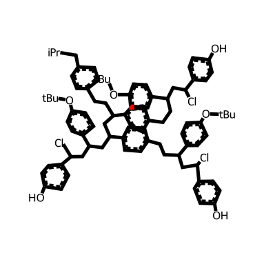 CC(C)Cc1ccc(CCC(CC(CC(CC(Cl)c2ccc(O)cc2)c2ccc(OC(C)(C)C)cc2)c2ccc(CCC(CC(Cl)c3ccc(O)cc3)c3ccc(OC(C)(C)C)cc3)cc2)c2ccc(CCC(CC(Cl)c3ccc(O)cc3)c3ccc(OC(C)(C)C)cc3)cc2)cc1